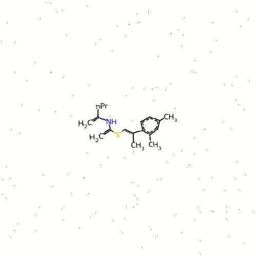 C=C(CCC)NC(=C)S/C=C(\C)c1ccc(C)cc1C